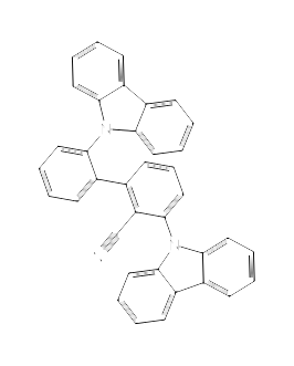 N#Cc1c(-c2ccccc2-n2c3ccccc3c3ccccc32)cccc1-n1c2ccccc2c2ccccc21